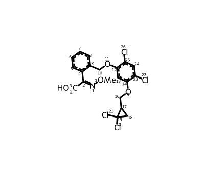 CO/N=C(/C(=O)O)c1ccccc1COc1cc(OCC2CC2(Cl)Cl)c(Cl)cc1Cl